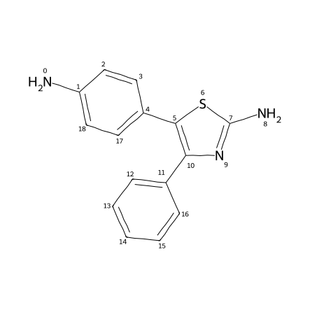 Nc1ccc(-c2sc(N)nc2-c2ccccc2)cc1